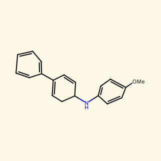 COc1ccc(NC2C=CC(c3ccccc3)=CC2)cc1